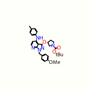 COc1ccc(Cn2nc(O[C@@H]3CCN(C(=O)OC(C)(C)C)C3)c3c(Nc4ccc(C)cc4)ccnc32)cc1